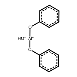 [OH-].c1ccc([O][Al+][O]c2ccccc2)cc1